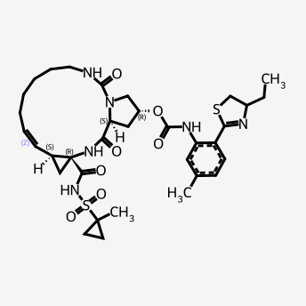 CCC1CSC(c2ccc(C)cc2NC(=O)O[C@@H]2C[C@H]3C(=O)N[C@]4(C(=O)NS(=O)(=O)C5(C)CC5)C[C@H]4/C=C\CCCCCNC(=O)N3C2)=N1